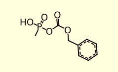 CP(=O)(O)OC(=O)OCc1ccccc1